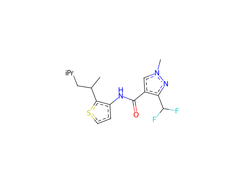 CC(C)CC(C)c1sccc1NC(=O)c1cn(C)nc1C(F)F